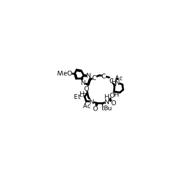 CC[C@@H]1[C@@H]2CN(C(=O)[C@H](C(C)(C)C)NC(=O)O[C@@H]3CCCN(C(C)=O)[C@H]3CCCCCc3nc4ccc(OC)cc4nc3O2)[C@@H]1C(C)=O